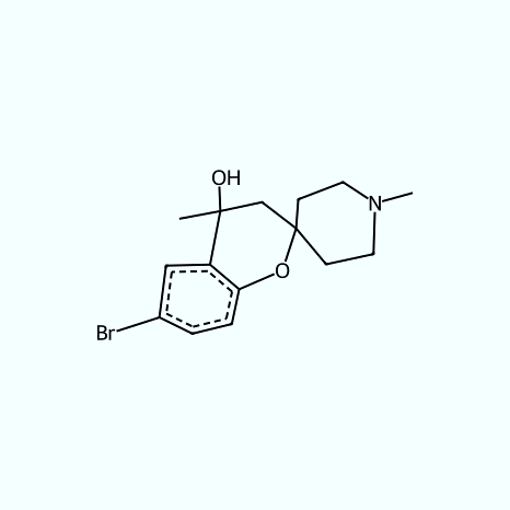 CN1CCC2(CC1)CC(C)(O)c1cc(Br)ccc1O2